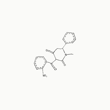 CN1C(=O)C(C(=O)c2ccccc2[N+](=O)[O-])C(=O)CC1c1ccccc1